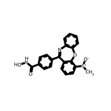 C[S+]([O-])c1cccc2c1Oc1ccccc1N=C2c1ccc(C(=O)NO)cc1